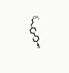 CCCC[C@H]1CC[C@H]([C@H]2CC[C@H](C#N)CC2)CC1